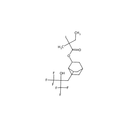 CCC(C)(I)C(=O)OC1CC2CCC1C(CC(O)(C(F)(F)F)C(F)(F)F)C2